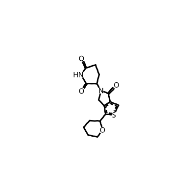 O=C1CCC(N2Cc3c(csc3C3CCCCO3)C2=O)C(=O)N1